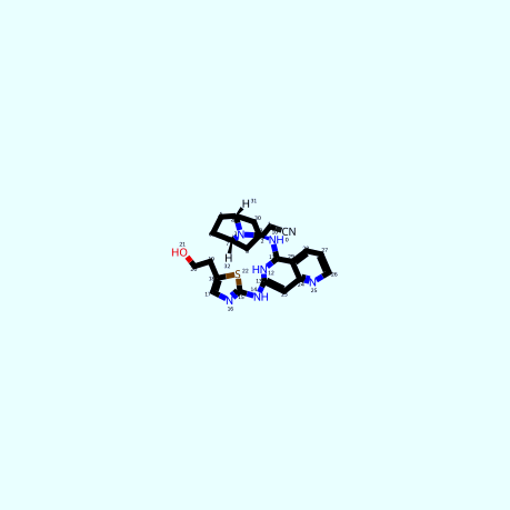 N#CCCN1[C@@H]2CC[C@H]1C[C@H](NC1NC(Nc3ncc(CCO)s3)=Cc3ncccc31)C2